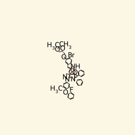 Cc1cc(-n2ncc(C(=O)c3cc4cc(OC[C@H]5COC(C)(C)O5)c(Br)cc4[nH]3)c2N=P(c2ccccc2)(c2ccccc2)c2ccccc2)ccc1Oc1ccccc1F